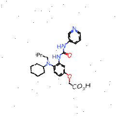 CC(C)CN(c1ccc(OCC(=O)O)cc1NC(=O)Nc1cccnc1)C1CCCCC1